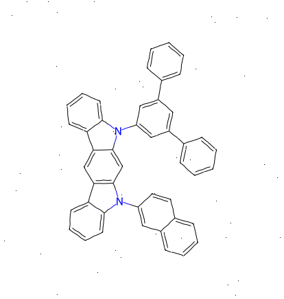 c1ccc(-c2cc(-c3ccccc3)cc(-n3c4ccccc4c4cc5c6ccccc6n(-c6ccc7ccccc7c6)c5cc43)c2)cc1